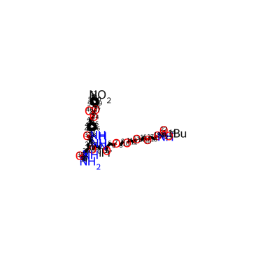 CC(C)[C@H](NC(=O)CCOCCOCCOCCOCCONC(=O)OC(C)(C)C)C(=O)N[C@@H](CCCNC(N)=O)C(=O)Nc1ccc(COC(=O)Oc2ccc([N+](=O)[O-])cc2)cc1